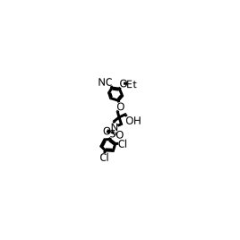 CCOc1cc(OCC2(CO)CN(S(=O)(=O)c3ccc(Cl)cc3Cl)C2)ccc1C#N